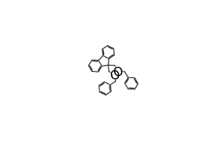 c1ccc(COCC2(COCc3ccccc3)c3ccccc3-c3ccccc32)cc1